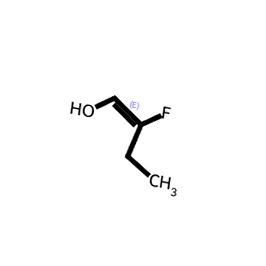 CC/C(F)=C\O